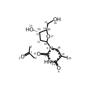 CC(C)=O.O=c1[nH]c(=O)n(C2C[C@H](O)[C@@H](CO)O2)cc1I